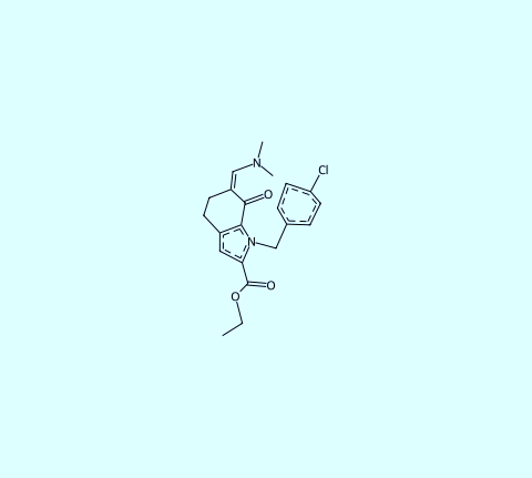 CCOC(=O)c1cc2c(n1Cc1ccc(Cl)cc1)C(=O)C(=CN(C)C)CC2